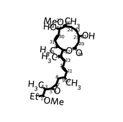 CCC(OC)C(C)C1OC1CC(C)/C=C/C=C(\C)C1OC(=O)CC(O)CCC(C)(OC)C(O)/C=C/C1C